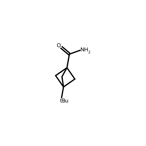 CC(C)(C)C12CC(C(N)=O)(C1)C2